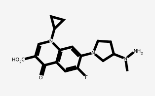 CN(N)C1CCN(c2cc3c(cc2F)c(=O)c(C(=O)O)cn3C2CC2)C1